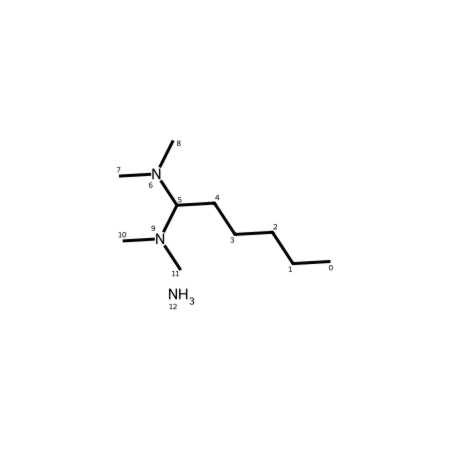 CCCCCC(N(C)C)N(C)C.N